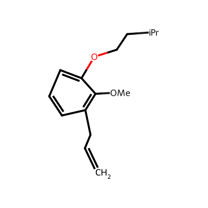 C=CCc1cccc(OCCC(C)C)c1OC